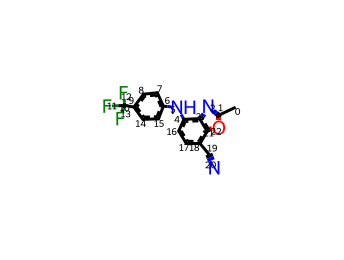 Cc1nc2c(Nc3ccc(C(F)(F)F)cc3)ccc(C#N)c2o1